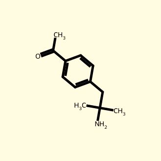 CC(=O)c1ccc(CC(C)(C)N)cc1